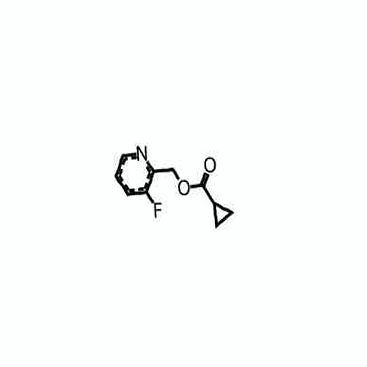 O=C(OCc1ncccc1F)C1CC1